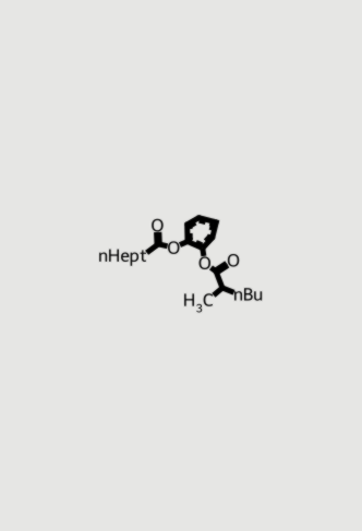 CCCCCCCC(=O)Oc1ccccc1OC(=O)C(C)CCCC